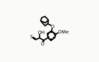 COc1ccc(C(=O)C(O)C=S)cc1OC1CC2CCC1C2